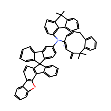 C=C1/C=C(N(c2ccc3c(c2)-c2ccccc2C32c3ccccc3-c3c2ccc2c3oc3ccccc32)c2cccc3c2-c2ccccc2C3(C)C)\C=C/Cc2ccccc2C1(C)C